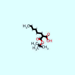 CCCCCCC(C(=O)O)C(=O)OC(C)(C)C